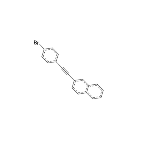 Brc1ccc(C#Cc2ccc3ccccc3c2)cc1